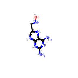 Nc1nc(N)c2nc(CNO)cnc2n1